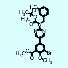 COC(=O)c1cc(-c2cnc(N(Cc3cccc(C)c3)C(=O)OC(C)(C)C)nc2)cc(Br)c1OC